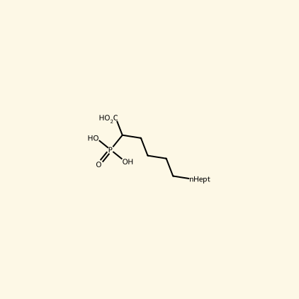 CCCCCCCCCCCC(C(=O)O)P(=O)(O)O